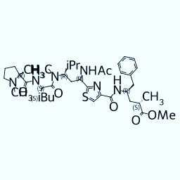 CC[C@H](C)[C@H](NC(=O)[C@@]1(C)CCCN1C)C(=O)N(C)[C@H](C[C@@H](NC(C)=O)c1nc(C(=O)N[C@@H](Cc2ccccc2)C[C@H](C)C(=O)OC)cs1)C(C)C